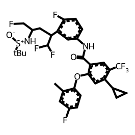 Cc1cc(F)ccc1Oc1cc(C2CC2)c(C(F)(F)F)cc1C(=O)Nc1ccc(F)c(C(CC(CF)N[S+]([O-])C(C)(C)C)C(F)F)c1